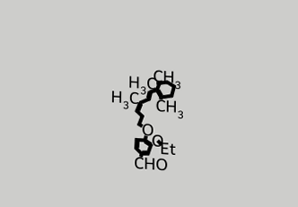 CCOc1cc(C=O)ccc1OCCC=C(C)C=CC1=C(C)CCCC1(C)C